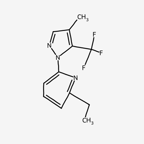 CCc1cccc(-n2ncc(C)c2C(F)(F)F)n1